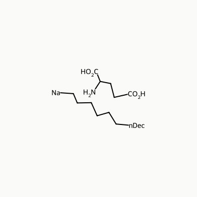 CCCCCCCCCCCCCCC[CH2][Na].NC(CCC(=O)O)C(=O)O